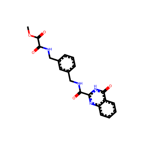 COC(=O)C(=O)NCc1cccc(CNC(=O)c2nc3ccccc3c(=O)[nH]2)c1